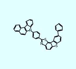 c1ccc(-c2ccc3sc4ccc5nc(-c6ccc(-n7c8ccccc8c8c9ccccc9ccc87)cc6)sc5c4c3c2)cc1